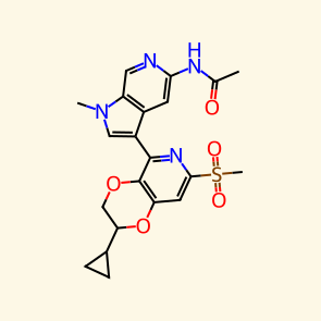 CC(=O)Nc1cc2c(-c3nc(S(C)(=O)=O)cc4c3OCC(C3CC3)O4)cn(C)c2cn1